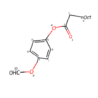 CCCCCCCCCC(=O)Oc1ccc(OC=O)cc1